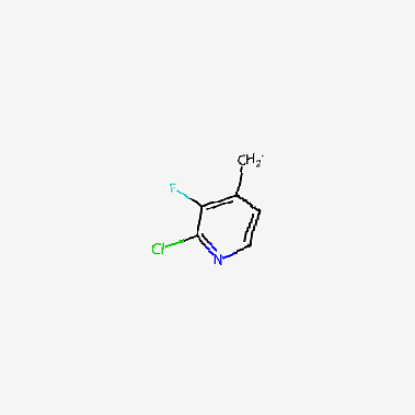 [CH2]c1ccnc(Cl)c1F